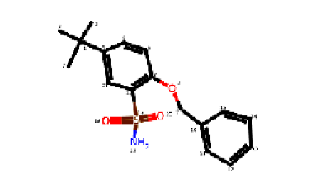 CC(C)(C)c1ccc(OCc2ccccc2)c(S(N)(=O)=O)c1